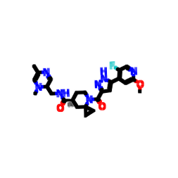 COc1cc(-c2cc(C(=O)N3CC[C@H](C(=O)NCC4C=NC(C)=CN4C)CC34CC4)n[nH]2)c(F)cn1